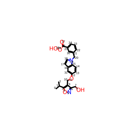 CC(C)c1onc(CO)c1COc1ccc2c(ccn2Cc2cccc(C(=O)OO)c2)c1